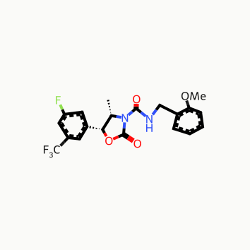 COc1ccccc1CNC(=O)N1C(=O)O[C@H](c2cc(F)cc(C(F)(F)F)c2)[C@@H]1C